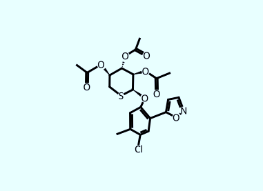 CC(=O)O[C@@H]1[C@@H](OC(C)=O)[C@@H](Oc2cc(C)c(Cl)cc2-c2ccno2)SC[C@H]1OC(C)=O